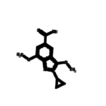 COc1cc(C(=O)O)cc2c(OC)n(C3CC3)nc12